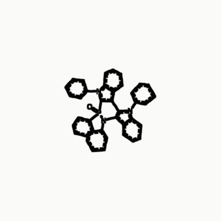 O=P1(c2ccccc2)c2c(c3ccccc3n2-c2ccccc2)-c2c(c3ccccc3n2-c2ccccc2)N1c1ccccc1